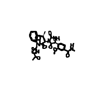 CNC(=O)c1ccc([C@H]2NC(=O)N([C@H](C(=O)Nc3nc(C(C)=O)cs3)[C@@H](C)c3ccccc3)C2=O)c(OC)c1